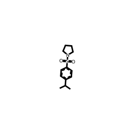 CC(C)c1ccc(S(=O)(=O)N2CCCC2)cc1